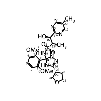 COc1cccc(OC)c1C1(NS(=O)(=O)C(C)C(O)c2ncc(C)cn2)NN=C([C@@H]2CCOC2)N1